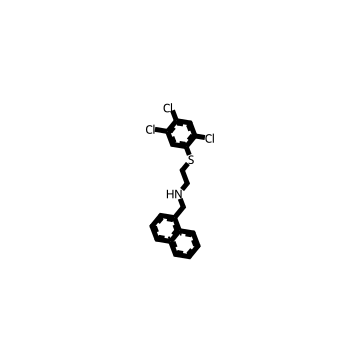 Clc1cc(Cl)c(SCCNCc2cccc3ccccc23)cc1Cl